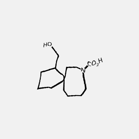 O=C(O)N1CCCC2(CCCC2CO)C1